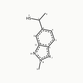 CC(S)c1ccc2nn(C)nc2c1